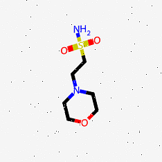 NS(=O)(=O)CCN1CCOCC1